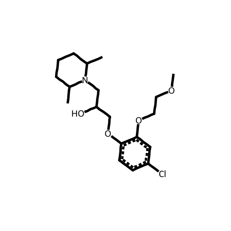 COCCOc1cc(Cl)ccc1OCC(O)CN1C(C)CCCC1C